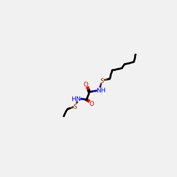 CCCCCCSNC(=O)C(=O)NSCC